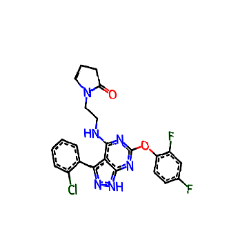 O=C1CCCN1CCNc1nc(Oc2ccc(F)cc2F)nc2[nH]nc(-c3ccccc3Cl)c12